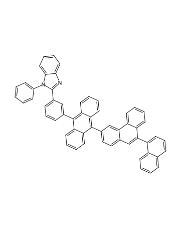 c1ccc(-n2c(-c3cccc(-c4c5ccccc5c(-c5ccc6cc(-c7cccc8ccccc78)c7ccccc7c6c5)c5ccccc45)c3)nc3ccccc32)cc1